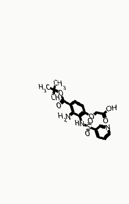 CC(C)(C)OC(=O)c1ccc(OCC(=O)O)c(NS(=O)(=O)c2cccnc2)c1N